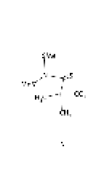 CSN(SC)C(=S)C(C)(C)C(=O)O